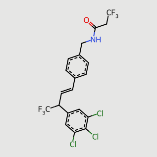 O=C(CC(F)(F)F)NCc1ccc(C=CC(c2cc(Cl)c(Cl)c(Cl)c2)C(F)(F)F)cc1